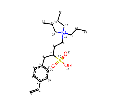 C=Cc1ccc(CC(CC[N+](CCC)(CCC)CCC)S(=O)(=O)O)cc1